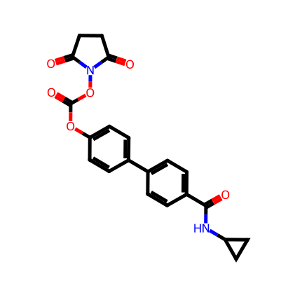 O=C(Oc1ccc(-c2ccc(C(=O)NC3CC3)cc2)cc1)ON1C(=O)CCC1=O